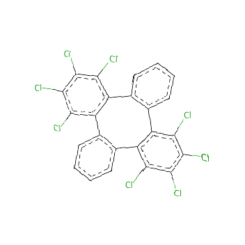 Clc1c(Cl)c(Cl)c2c(c1Cl)-c1ccccc1-c1c(Cl)c(Cl)c(Cl)c(Cl)c1-c1ccccc1-2